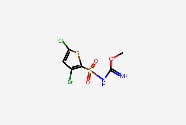 COC(=N)NS(=O)(=O)c1sc(Cl)cc1Br